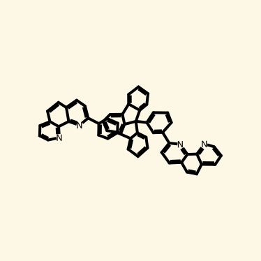 c1cc(-c2ccc3ccc4cccnc4c3n2)cc(C2(c3ccccc3-c3ccc(-c4ccc5ccc6cccnc6c5n4)cc3)c3ccccc3-c3ccccc32)c1